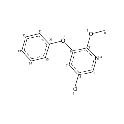 COc1ncc(Cl)cc1Oc1ccccc1